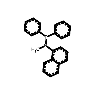 CN(c1cccc2ccccc12)P(c1ccccc1)c1ccccc1